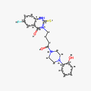 O=C(CCCn1c(=S)[nH]c2ccc(F)cc2c1=O)N1CCN(c2ccccc2O)CC1